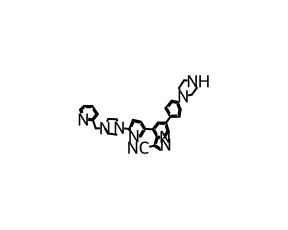 N#Cc1cnn2cc(-c3ccc(N4CCNCC4)cc3)cc(-c3ccc(N4CCN(Cc5ccccn5)CC4)nc3)c12